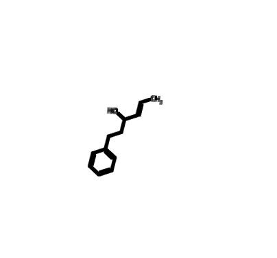 C/C=C/C(O)CCc1ccccc1